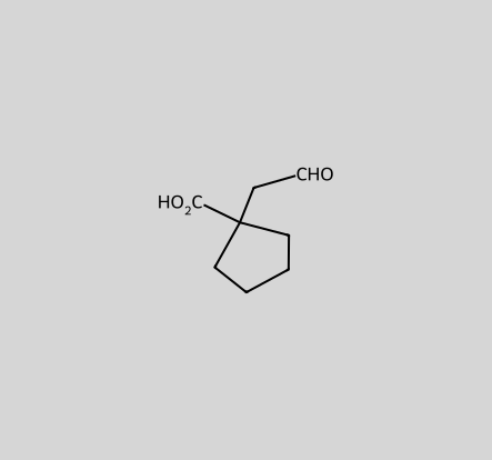 O=CCC1(C(=O)O)CCCC1